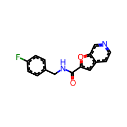 O=C(NCc1ccc(F)cc1)c1cc2ccncc2o1